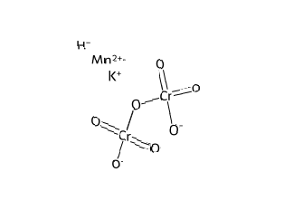 [H-].[K+].[Mn+2].[O]=[Cr](=[O])([O-])[O][Cr](=[O])(=[O])[O-]